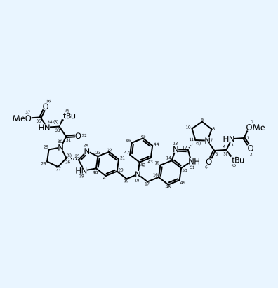 COC(=O)N[C@H](C(=O)N1CCC[C@H]1c1nc2cc(CN(Cc3ccc4nc([C@@H]5CCCN5C(=O)[C@@H](NC(=O)OC)C(C)(C)C)[nH]c4c3)c3ccccc3)ccc2[nH]1)C(C)(C)C